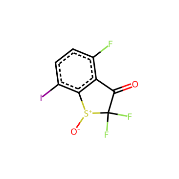 O=C1c2c(F)ccc(I)c2[S+]([O-])C1(F)F